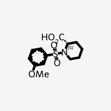 COc1cccc(S(=O)(=O)N2CCCC[C@H]2C(=O)O)c1